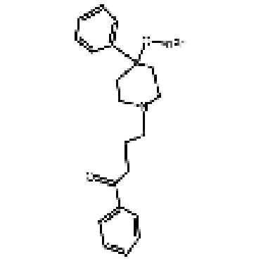 CCCOC1(c2ccccc2)CCN(CCCC(=O)c2ccccc2)CC1